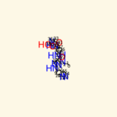 CCCNc1nc(Nc2ccc3nnccc3c2)ncc1C(=O)Nc1cccc(NC(=O)C(C)N(C)C(=O)O)c1